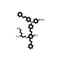 CCCCCCc1ccc(N(c2ccc(/C=C/c3ccccc3)cc2)c2ccc(/C=C/c3cc(OCCC(C)CCCC(C)C)c(/C=C/c4ccccc4)cc3C)cc2)cc1